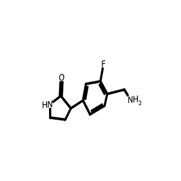 NCc1ccc(C2CCNC2=O)cc1F